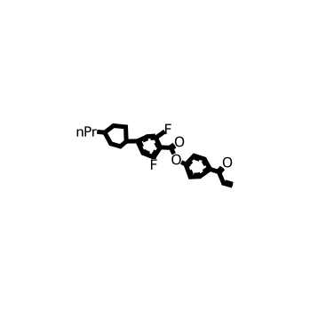 C=CC(=O)c1ccc(OC(=O)c2c(F)cc(C3CCC(CCC)CC3)cc2F)cc1